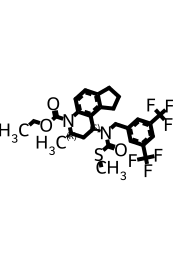 CCOC(=O)N1c2ccc3c(c2[C@@H](N(Cc2cc(C(F)(F)F)cc(C(F)(F)F)c2)C(=O)SC)C[C@H]1C)CCC3